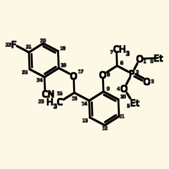 CCOP(=O)(OCC)C(C)Oc1ccccc1C(C)Oc1c[c]c(F)cc1C#N